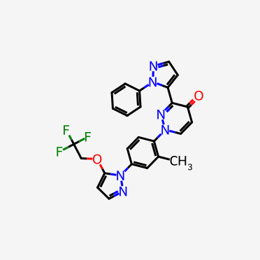 Cc1cc(-n2nccc2OCC(F)(F)F)ccc1-n1ccc(=O)c(-c2ccnn2-c2ccccc2)n1